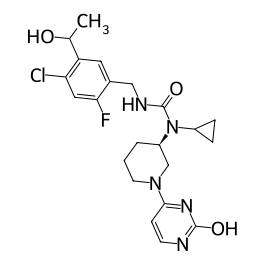 CC(O)c1cc(CNC(=O)N(C2CC2)[C@@H]2CCCN(c3ccnc(O)n3)C2)c(F)cc1Cl